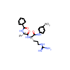 CC(C)[C@H](NC(=O)c1ccccc1)C(=O)N[C@@H](CCCNC(=N)N)C(=O)Nc1ccc([N+](=O)[O-])cc1